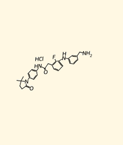 CC1(C)CCC(=O)N1c1ccc(NC(=O)Cc2cccc(Nc3cccc(CN)c3)c2F)cc1.Cl